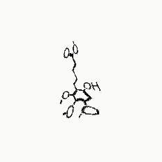 COC(=O)CCCCc1c(O)cc(OC)c(OC)c1OC